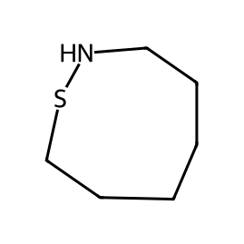 C1CCCSNCC1